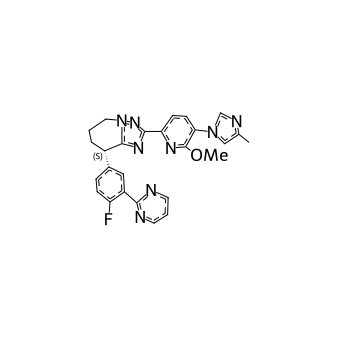 COc1nc(-c2nc3n(n2)CCC[C@H]3c2ccc(F)c(-c3ncccn3)c2)ccc1-n1cnc(C)c1